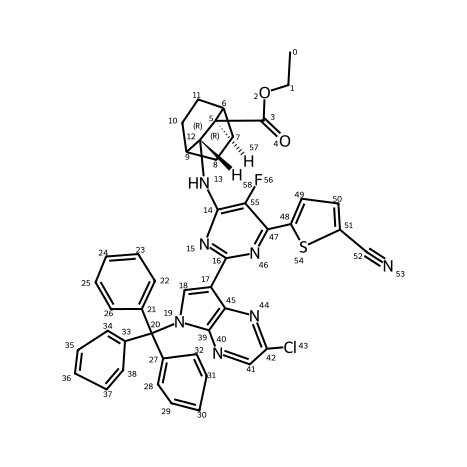 CCOC(=O)[C@@H]1C2CCC(CC2)[C@H]1Nc1nc(-c2cn(C(c3ccccc3)(c3ccccc3)c3ccccc3)c3ncc(Cl)nc23)nc(-c2ccc(C#N)s2)c1F